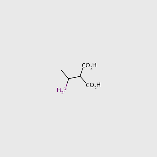 CC(P)C(C(=O)O)C(=O)O